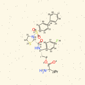 CC(C)C(N)C(=O)OCC[C@H](NC(=O)[C@@H]1SCCN1S(=O)(=O)c1ccc(-c2ccccc2)cc1)c1ccc(F)cc1